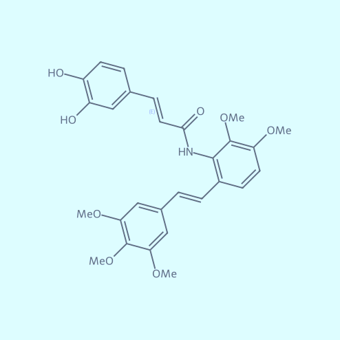 COc1cc(C=Cc2ccc(OC)c(OC)c2NC(=O)/C=C/c2ccc(O)c(O)c2)cc(OC)c1OC